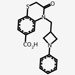 O=C(O)c1ccc2c(c1)N(CC1CN(c3ccccc3)C1)C(=O)CS2